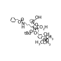 CC(C)(C)OC(=O)N([C@@H](CCc1ccc2c(c1)C(C)(C)[N+](=O)C2(C)C)C(=O)O)[C@@H](CCCCNC(=O)OCc1ccccc1)C(=O)N1CCC[C@H]1CO